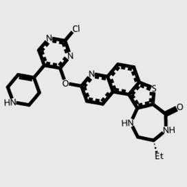 CC[C@@H]1CNc2c(sc3ccc4nc(Oc5nc(Cl)ncc5C5=CCNCC5)ccc4c23)C(=O)N1